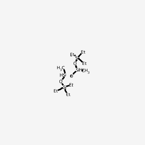 CC[Si](CC)(CC)O[SiH](C)O[SiH](C)O[Si](CC)(CC)CC